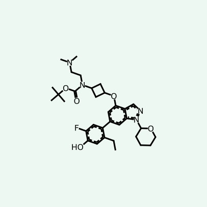 CCc1cc(O)c(F)cc1-c1cc(OC2CC(N(CCN(C)C)C(=O)OC(C)(C)C)C2)c2cnn(C3CCCCO3)c2c1